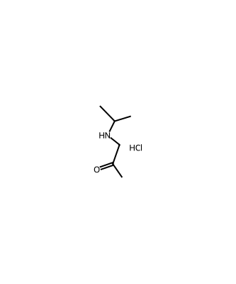 CC(=O)CNC(C)C.Cl